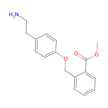 COC(=O)c1ccccc1COc1ccc(CCN)cc1